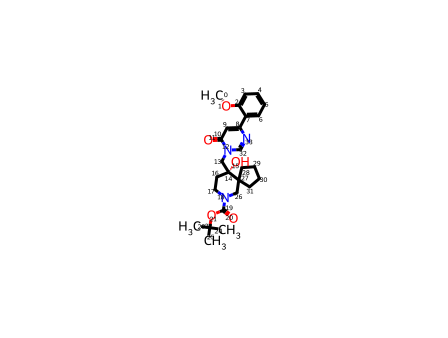 COc1ccccc1-c1cc(=O)n(C[C@]2(O)CCN(C(=O)OC(C)(C)C)CC23CCCC3)cn1